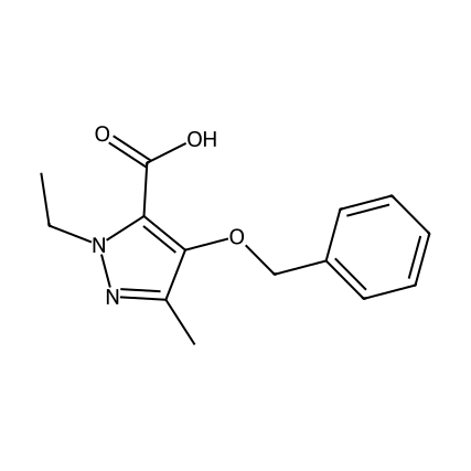 CCn1nc(C)c(OCc2ccccc2)c1C(=O)O